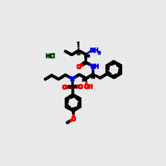 CCCCN(C[C@@H](O)[C@H](Cc1ccccc1)NC(=O)[C@@H](N)[C@@H](C)CC)S(=O)(=O)c1ccc(OC)cc1.Cl